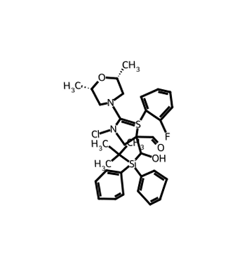 C[C@@H]1CN(C2=S(c3ccccc3F)C(C=O)(C(O)[Si](c3ccccc3)(c3ccccc3)C(C)(C)C)CN2Cl)C[C@H](C)O1